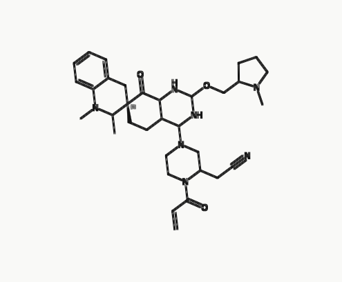 C=CC(=O)N1CCN(C2NC(OCC3CCCN3C)NC3C(=O)[C@@]4(CCC32)Cc2ccccc2N(C)C4C)CC1CC#N